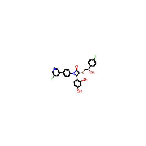 O=C1[C@H](SC[C@H](O)c2ccc(F)cc2)[C@@H](c2ccc(O)cc2O)N1c1ccc(-c2cncc(F)c2)cc1